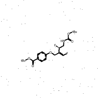 CC(C)(C)OC(=O)NC[C@H](F)/C(=C\F)COc1ccc(C(=O)OC(C)(C)C)cc1